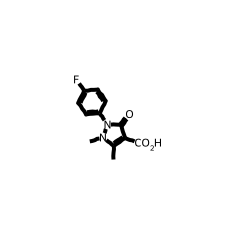 Cc1c(C(=O)O)c(=O)n(-c2ccc(F)cc2)n1C